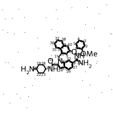 COc1ccccc1Oc1cc(Cn2c(C(=O)N[C@H]3CC[C@H](N)CC3)cc3ccc(C(=N)N)cc32)c2ccccc2c1